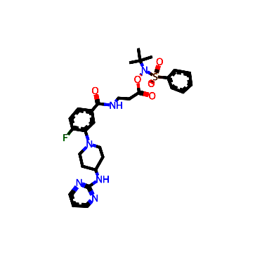 CC(C)(C)N(OC(=O)CCNC(=O)c1ccc(F)c(N2CCC(Nc3ncccn3)CC2)c1)S(=O)(=O)c1ccccc1